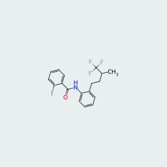 CC(CCc1ccccc1NC(=O)c1ccccc1I)C(F)(F)F